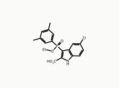 CCOP(=O)(c1cc(C)cc(C)c1)c1c(C(=O)O)[nH]c2ccc(Cl)cc12